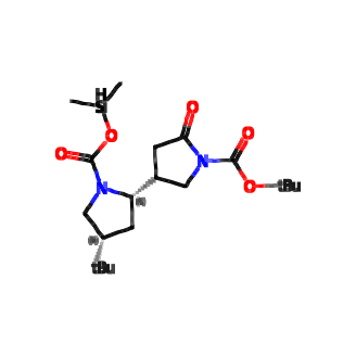 C[SiH](C)OC(=O)N1C[C@@H](C(C)(C)C)C[C@H]1C1CC(=O)N(C(=O)OC(C)(C)C)C1